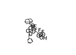 O=C(OC(OCCC(F)(F)S(=O)(=O)O)(C(=O)OCc1ccccc1)C(F)(F)F)C12CC3CC(CC(C3)C1)C2